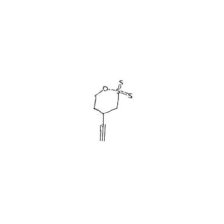 C#CC1CCOS(=S)(=S)C1